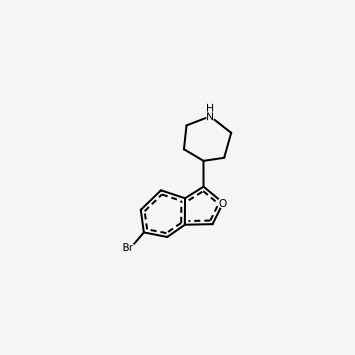 Brc1ccc2c(C3CCNCC3)occ2c1